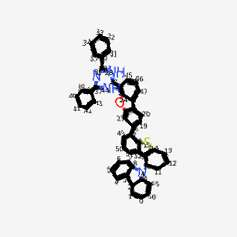 C1=CC2c3ccccc3N(C3CC=Cc4sc5c(-c6ccc7c(c6)oc6c(C8NC(c9ccccc9)=NC(c9ccccc9)N8)cccc67)cccc5c43)C2C=C1